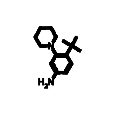 CC(C)(C)c1ccc(N)cc1N1CCCCC1